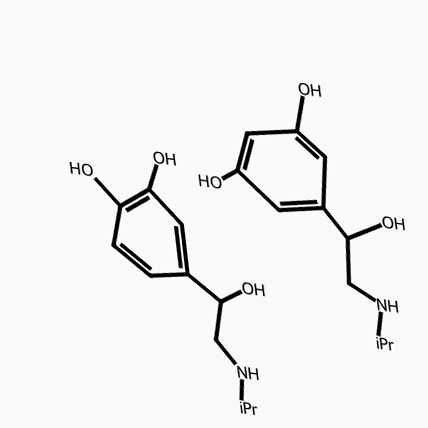 CC(C)NCC(O)c1cc(O)cc(O)c1.CC(C)NCC(O)c1ccc(O)c(O)c1